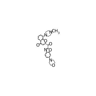 CN1CCN(c2cccc3c(=O)cc(C(=O)c4nc5ccc(N6CCOCC6)cc5o4)oc23)CC1